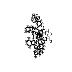 CC1(C)Oc2ccc(S(=O)(=O)C(F)(F)F)cc2C(N2Cc3ccccc3C2=O)C1O[N+](=O)OC1C(N2Cc3ccccc3C2=O)c2cc(S(=O)(=O)C(F)(F)F)ccc2OC1(C)C